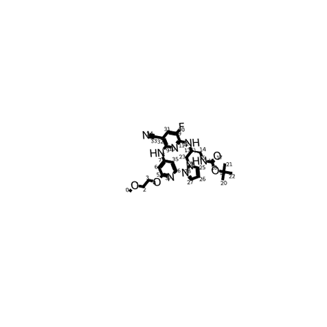 COCCOc1cc(Nc2nc(N[C@@H](CNC(=O)OC(C)(C)C)Cn3cccn3)c(F)cc2C#N)ccn1